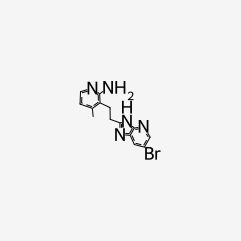 Cc1ccnc(N)c1CCc1nc2cc(Br)cnc2[nH]1